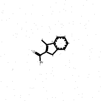 CC1=C(C(=O)C(C)C)Cc2ccccc21